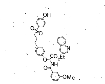 CCOC(=O)C(NC(=O)c1cccc(OC)c1)Oc1ccc(CCCS(=O)(=O)c2ccc(O)cc2)cc1.c1ccc2ncccc2c1